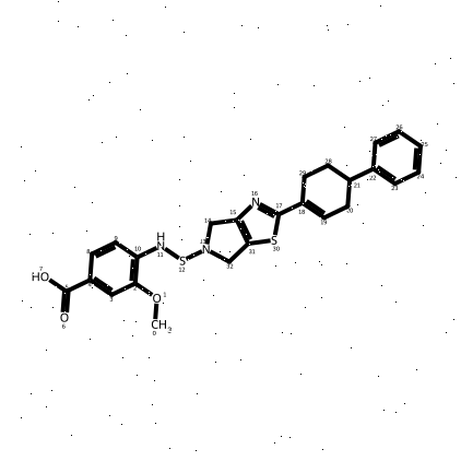 COc1cc(C(=O)O)ccc1NSN1Cc2nc(C3=CCC(c4ccccc4)CC3)sc2C1